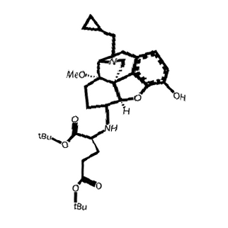 CO[C@@]12CCC(N[C@@H](CCC(=O)OC(C)(C)C)C(=O)OC(C)(C)C)[C@@H]3Oc4c(O)ccc5c4[C@@]31CCN(CC1CC1)C2C5